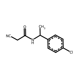 CC(NC(=O)CC#N)c1ccc(Cl)cc1